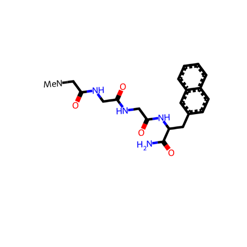 CNCC(=O)NCC(=O)NCC(=O)NC(Cc1ccc2ccccc2c1)C(N)=O